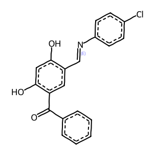 O=C(c1ccccc1)c1cc(/C=N/c2ccc(Cl)cc2)c(O)cc1O